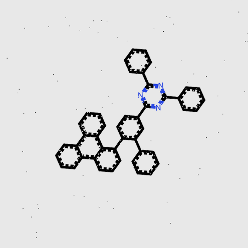 c1ccc(-c2nc(-c3ccccc3)nc(-c3ccc(-c4cccc5c6ccccc6c6ccccc6c45)c(-c4ccccc4)c3)n2)cc1